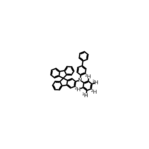 [2H]c1c([2H])c([2H])c(N(c2ccc(-c3ccccc3)cc2)c2ccc3c(c2)C2(c4ccccc4-c4ccccc42)c2ccccc2-3)c([2H])c1[2H]